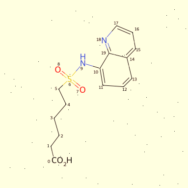 O=C(O)CCCCCS(=O)(=O)Nc1cccc2cccnc12